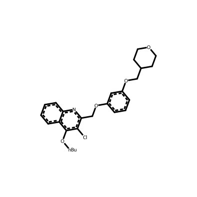 CCCCOc1c(Cl)c(COc2cccc(OCC3CCOCC3)c2)nc2ccccc12